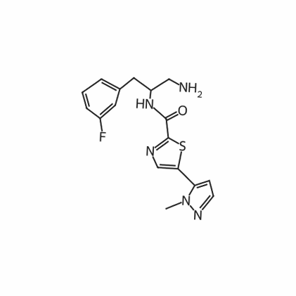 Cn1nccc1-c1cnc(C(=O)NC(CN)Cc2cccc(F)c2)s1